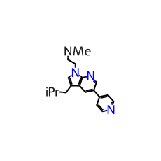 CNCCn1cc(CC(C)C)c2cc(-c3ccncc3)cnc21